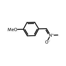 COc1ccc(/C=[N+](/C)[O-])cc1